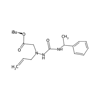 C=CCN(CC(=O)O[C@H](C)CC)NC(=O)NC(C)c1ccccc1